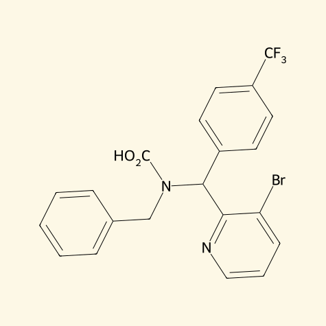 O=C(O)N(Cc1ccccc1)C(c1ccc(C(F)(F)F)cc1)c1ncccc1Br